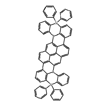 c1ccc([Si]2(c3ccccc3)c3ccccc3B3c4c(cccc42)-c2ccc4cc5c6c(ccc7cc3c2c4c76)-c2cccc3c2B5c2ccccc2[Si]3(c2ccccc2)c2ccccc2)cc1